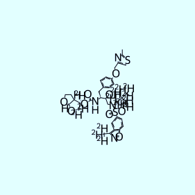 [2H]C([2H])([2H])c1noc2ccc(S(=O)(=O)N(C[C@@H](O)[C@H](Cc3ccc(OCc4csc(C)n4)cc3)NC(=O)O[C@]3([2H])[C@@H]4CCO[C@@H]4OC3([2H])[2H])C([2H])([2H])C([2H])(C([2H])([2H])[2H])C([2H])([2H])[2H])cc12